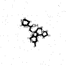 Cc1cc2c3c(n(CC(O)c4ccncc4)c2cn1)CCN1CCCC31